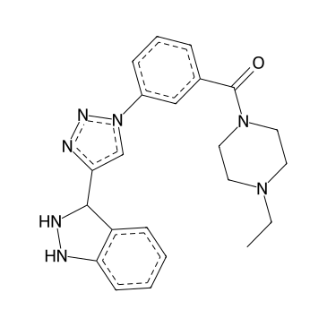 CCN1CCN(C(=O)c2cccc(-n3cc(C4NNc5ccccc54)nn3)c2)CC1